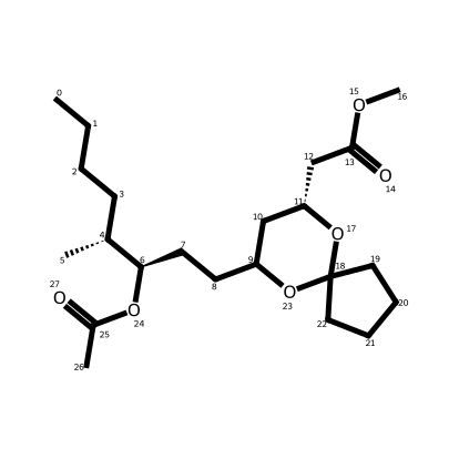 CCCC[C@@H](C)[C@@H](CCC1C[C@H](CC(=O)OC)OC2(CCCC2)O1)OC(C)=O